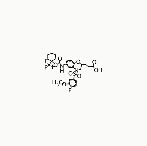 COc1cc(S(=O)(=O)N2CC(CCC(=O)O)Oc3ccc(NC(=O)OC4(C(F)(F)F)CCCCC4)cc32)ccc1F